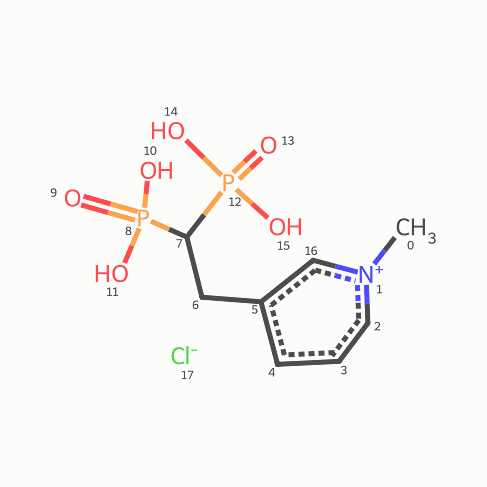 C[n+]1cccc(CC(P(=O)(O)O)P(=O)(O)O)c1.[Cl-]